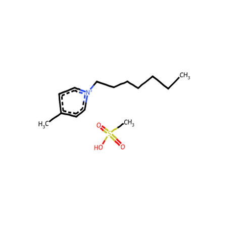 CCCCCCC[n+]1ccc(C)cc1.CS(=O)(=O)O